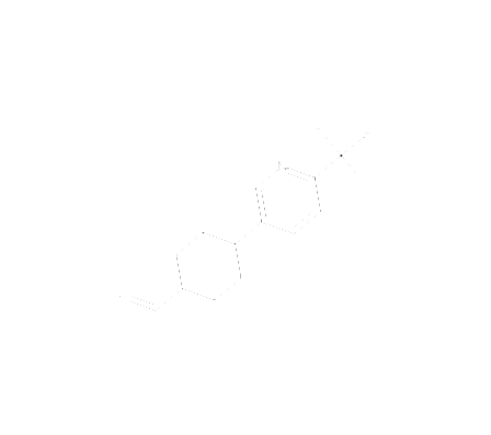 O=CC1CCC(c2ccc(C(F)(F)F)nc2)CC1